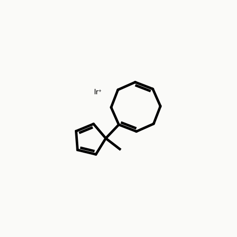 CC1(C2=CCCC=CCC2)C=CC=C1.[Ir+]